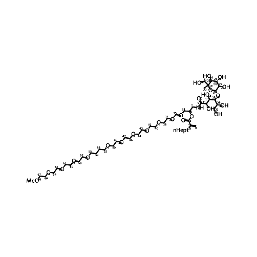 C=C(CCCCCCC)C(=O)OC(CNC(=O)C(O)C(O)C(O[C@@H]1OC(C)(CO)[C@H](O)[C@H](O)C1O)C(O)CO)COCOCCOCCOCCOCCOCCOCCCCOCCOCCOCCOCCOC